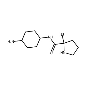 CCC1(C(=O)NC2CCC(N)CC2)CCCN1